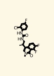 C[C@@H](CNC(=O)Nc1ccc(F)cc1Cl)c1cn(C)c(=O)c2c(F)c(F)ccc12